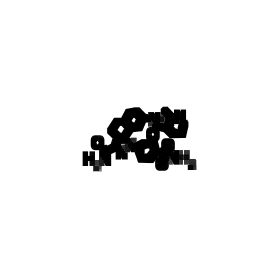 Cc1ncccc1C(=O)Nc1ccc2c(c1)-c1c(c(C(N)=O)nn1-c1ccc(S(N)(=O)=O)cc1)CC2